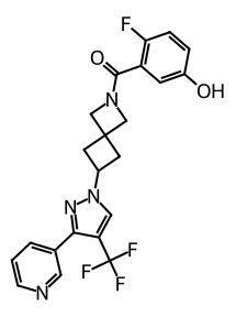 O=C(c1cc(O)ccc1F)N1CC2(CC(n3cc(C(F)(F)F)c(-c4cccnc4)n3)C2)C1